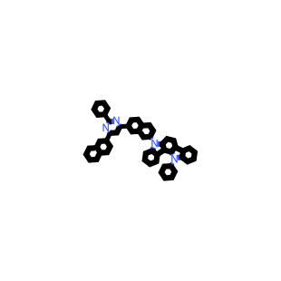 c1ccc(-c2nc(-c3ccc4ccccc4c3)cc(-c3ccc4ccc(-n5c6ccccc6c6c5ccc5c7ccccc7n(-c7ccccc7)c56)cc4c3)n2)cc1